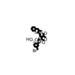 CC[C@@]1(OC(Oc2cccc(CBr)c2)C(=O)O)C(=O)OCc2c1cc1n(c2=O)Cc2cc3ccccc3nc2-1